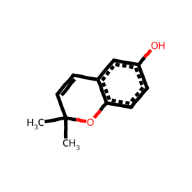 CC1(C)C=Cc2cc(O)ccc2O1